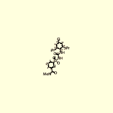 CNC(=O)c1cncc(S(=O)(=O)NC(=O)Nc2c(C(C)C)cc(Cl)cc2C(C)C)n1